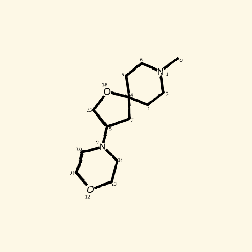 CN1CCC2(CC1)CC(N1CCOCC1)CO2